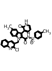 Cc1ccc([S@+]([O-])NC(=O)c2c(-c3ccc[nH]c3=O)c3cc(C)ccc3n2Cc2cc3ccccc3nc2Cl)cc1